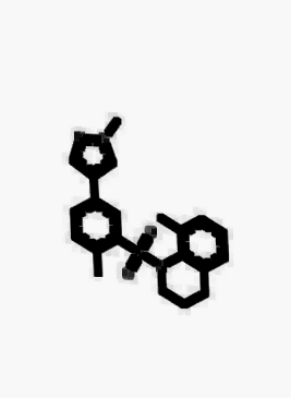 Cc1ccc(-c2cnn(C)c2)cc1S(=O)(=O)N1CCCc2cccc(C)c21